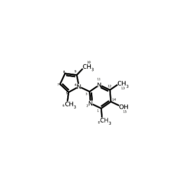 Cc1nc(-n2c(C)ccc2C)nc(C)c1O